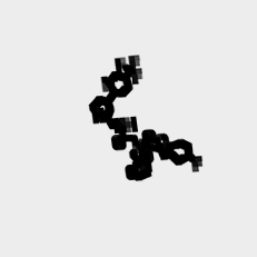 O=C(CN(Cc1ncco1)S(=O)(=O)c1cc2cc(F)ccc2o1)NCc1cc(-c2ccc(C(F)(F)F)cn2)ccn1